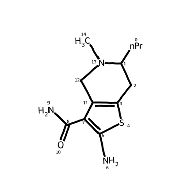 CCCC1Cc2sc(N)c(C(N)=O)c2CN1C